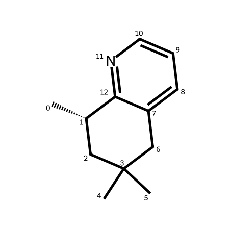 C[C@H]1CC(C)(C)Cc2cccnc21